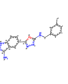 Cc1cccc(CNc2nnc(-c3ccc4[nH]nc(N)c4c3)o2)c1